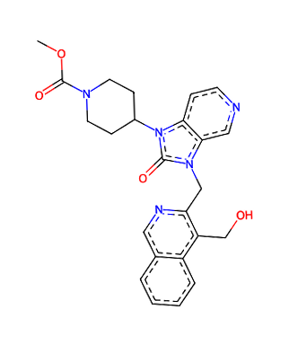 COC(=O)N1CCC(n2c(=O)n(Cc3ncc4ccccc4c3CO)c3cnccc32)CC1